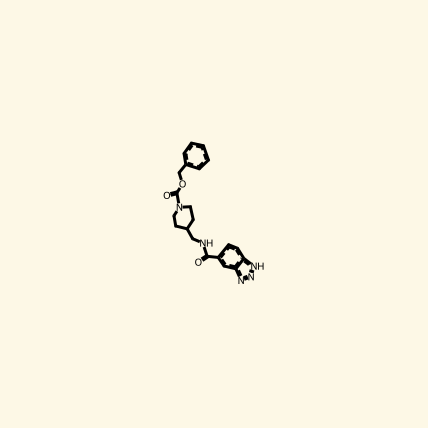 O=C(NCC1CCN(C(=O)OCc2ccccc2)CC1)c1ccc2[nH]nnc2c1